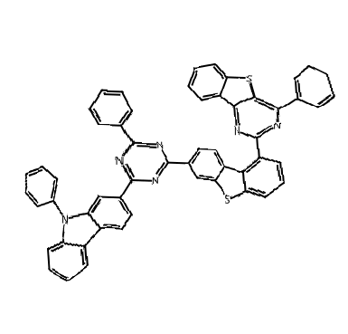 C1=CC(c2nc(-c3cccc4sc5cc(-c6nc(-c7ccccc7)nc(-c7ccc8c9ccccc9n(-c9ccccc9)c8c7)n6)ccc5c34)nc3c2sc2ccccc23)=CCC1